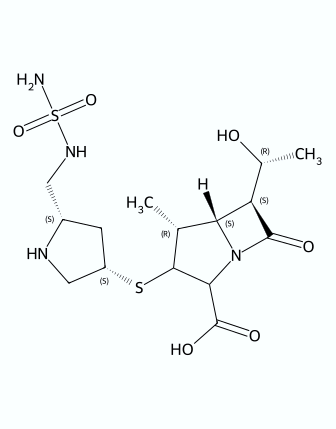 C[C@@H](O)[C@H]1C(=O)N2C(C(=O)O)C(S[C@@H]3CN[C@H](CNS(N)(=O)=O)C3)[C@H](C)[C@H]12